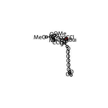 COc1ccc(C2=CN3C(=O)c4cc(OC)c(OCCCOc5cc6c(cc5OC)C(=O)N5C=C(c7ccc(OCCOCCCOCCCOCCCOCCCOCCN8C(=O)c9ccccc9C8=O)cc7)CC5[C@@H](O[Si](C)(C)C(C)(C)C)N6C(=O)OCC(Cl)(Cl)Cl)cc4N(C(=O)OCC(Cl)(Cl)Cl)[C@H](C)C3C2)cc1